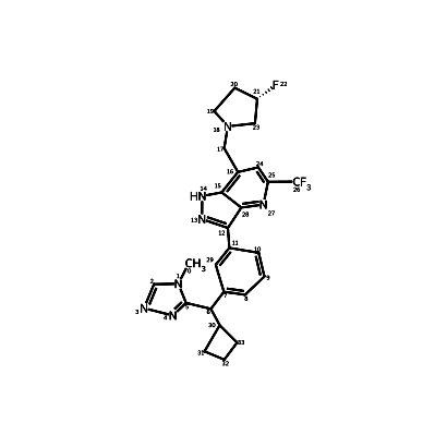 Cn1cnnc1C(c1cccc(-c2n[nH]c3c(CN4CC[C@H](F)C4)cc(C(F)(F)F)nc23)c1)C1CCC1